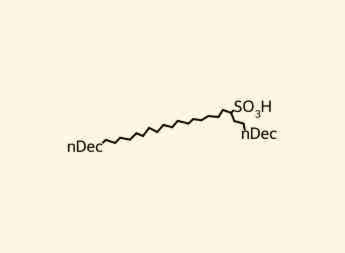 CCCCCCCCCCCCCCCCCCCCCCCCCCCC(CCCCCCCCCCCC)S(=O)(=O)O